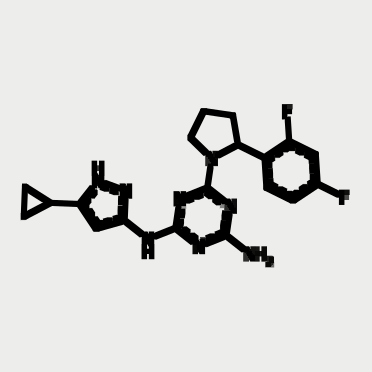 Nc1nc(Nc2cc(C3CC3)[nH]n2)nc(N2CCCC2c2ccc(F)cc2F)n1